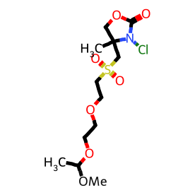 COC(C)OCCOCCS(=O)(=O)CC1(C)COC(=O)N1Cl